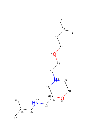 CC(C)CCOCCN1CCO[C@H](CNCC(C)C)C1